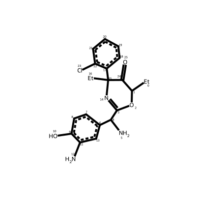 CCC1OC(C(N)c2ccc(O)c(N)c2)=NC(CC)(c2ccccc2Cl)C1=O